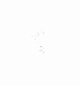 O=C(Nc1nc2cccc(C3=CC[C@H](NC(=O)[C@H]4CC4(F)F)CC3)n2n1)C1CC1